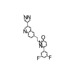 Cn1cc(-c2cnc3ccc(CCn4nc(-c5cc(F)cc(F)c5)ccc4=O)cc3c2)cn1